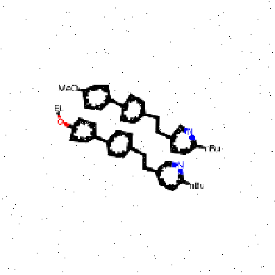 CCCCc1ccc(CCc2ccc(-c3ccc(OC)cc3)cc2)cn1.CCCCc1ccc(CCc2ccc(-c3ccc(OCC)cc3)cc2)cn1